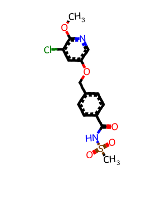 COc1ncc(OCc2ccc(C(=O)NS(C)(=O)=O)cc2)cc1Cl